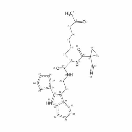 CC(=O)CCCCC[C@H](NC(=O)C1(C#N)CC1)C(=O)NCCc1c(-c2ccccc2)[nH]c2ccccc12